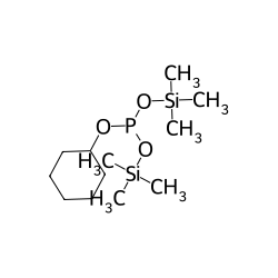 C[Si](C)(C)OP(OC1CCCCC1)O[Si](C)(C)C